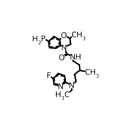 CCN(CCC(C)CCNC(=O)N1CC(C)Oc2cc(P)ccc21)c1ccc(F)cn1